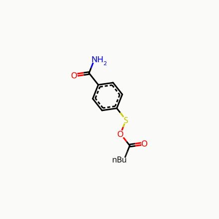 CCCCC(=O)OSc1ccc(C(N)=O)cc1